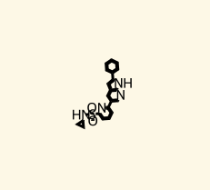 O=S(=O)(NC1CC1)c1cccc(-c2cnc3[nH]c(-c4ccccc4)cc3c2)n1